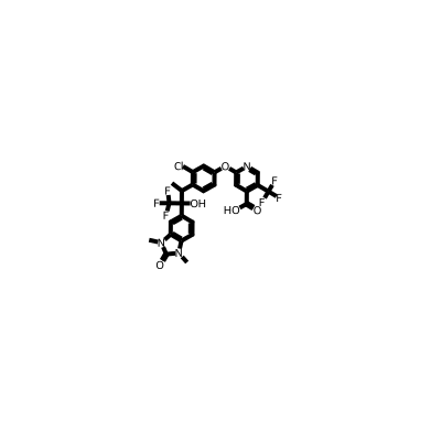 CC(c1ccc(Oc2cc(C(=O)O)c(C(F)(F)F)cn2)cc1Cl)C(O)(c1ccc2c(c1)n(C)c(=O)n2C)C(F)(F)F